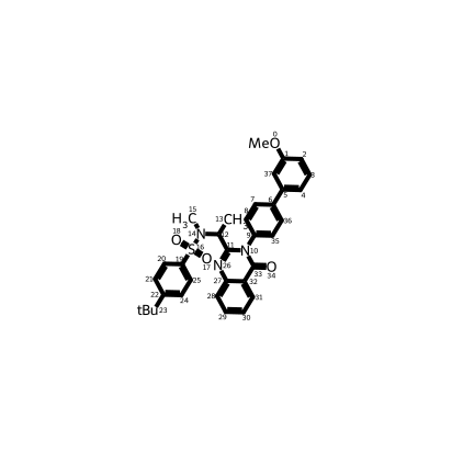 COc1cccc(-c2ccc(-n3c(C(C)N(C)S(=O)(=O)c4ccc(C(C)(C)C)cc4)nc4ccccc4c3=O)cc2)c1